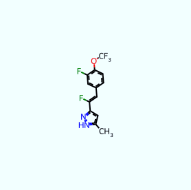 Cc1cc(C(F)=Cc2ccc(OC(F)(F)F)c(F)c2)n[nH]1